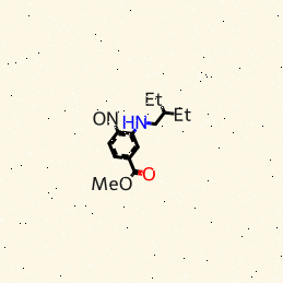 CCC(CC)CNc1cc(C(=O)OC)ccc1N=O